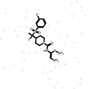 CC(F)(C1CCN(C(=O)N/C(=C/N)SN)CC1)S(=O)(=O)c1cccc(F)c1